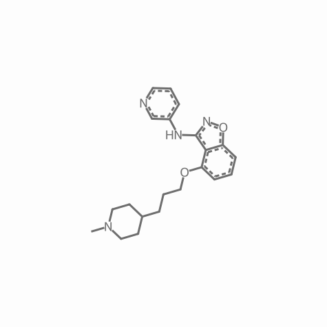 CN1CCC(CCCOc2cccc3onc(Nc4cccnc4)c23)CC1